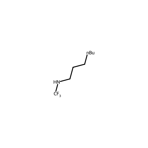 CCCCCCCNC(F)(F)F